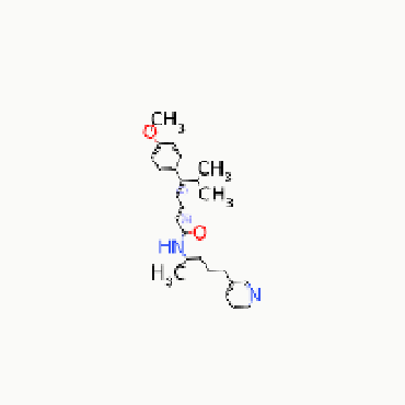 COc1ccc(/C(=C/C=C/C(=O)NC(C)CCCc2cccnc2)C(C)C)cc1